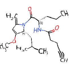 C#CCCC(=O)N[C@@H](CCC)C(=O)N1C(=C)C=C(OC)[C@H]1CC(C)C